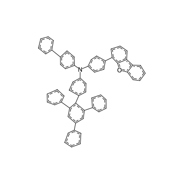 c1ccc(-c2ccc(N(c3ccc(-c4c(-c5ccccc5)cc(-c5ccccc5)cc4-c4ccccc4)cc3)c3ccc(-c4cccc5c4oc4ccccc45)cc3)cc2)cc1